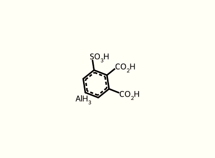 O=C(O)c1cccc(S(=O)(=O)O)c1C(=O)O.[AlH3]